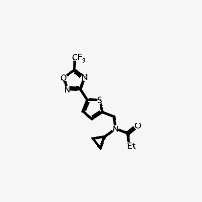 CCC(=O)N(Cc1ccc(-c2noc(C(F)(F)F)n2)s1)C1CC1